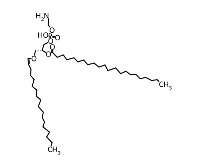 CCCCCCCCCCCCCCCC/C=C\OC[C@H](COP(=O)(O)OCCN)OC(=O)CCCCCCCCCCCCCCCCCCCCC